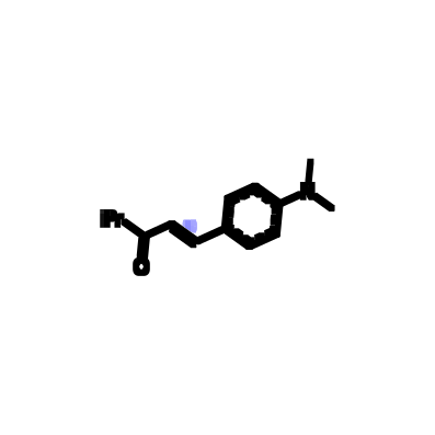 CC(C)C(=O)/C=C/c1ccc(N(C)C)cc1